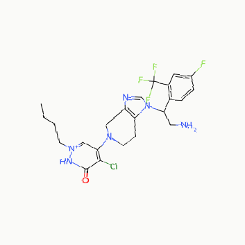 CCCC[n+]1cc(N2CCc3c(ncn3C(CN)c3ccc(F)cc3C(F)(F)F)C2)c(Cl)c(=O)[nH]1